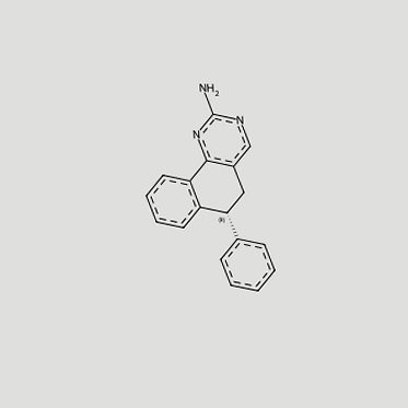 Nc1ncc2c(n1)-c1ccccc1[C@@H](c1ccccc1)C2